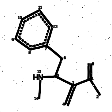 C=C(C)C(=C)C(Cc1ccccc1)NC